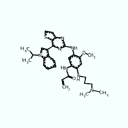 C=CC(=O)Nc1cc(Nc2nc(-c3cn(C(C)C)c4ccccc34)c3sccc3n2)c(OC)cc1NCCCN(C)C